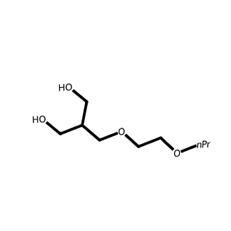 CCCOCCOCC(CO)CO